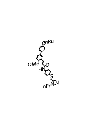 CCCCOc1ccc(-c2ccc(OC)c(/C=C/C(=O)Nc3ccc(SCc4cncn4CCC)cc3)c2)cc1